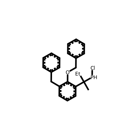 CCC(C)(PCl)c1cccc(Cc2ccccc2)c1OCc1ccccc1